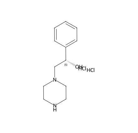 Cl.Cl.O[C@H](CN1CCNCC1)c1ccccc1